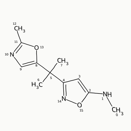 CNc1cc(C(C)(C)c2cnc(C)o2)no1